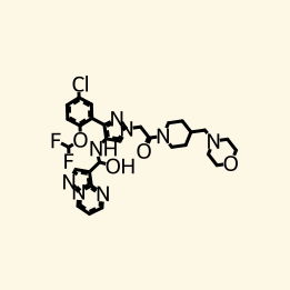 O=C(Cn1cc(NC(O)c2cnn3cccnc23)c(-c2cc(Cl)ccc2OC(F)F)n1)N1CCC(CN2CCOCC2)CC1